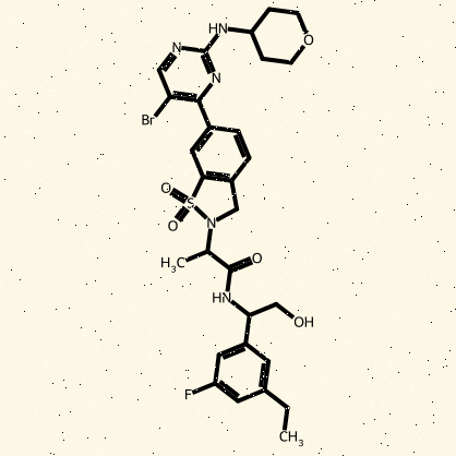 CCc1cc(F)cc(C(CO)NC(=O)C(C)N2Cc3ccc(-c4nc(NC5CCOCC5)ncc4Br)cc3S2(=O)=O)c1